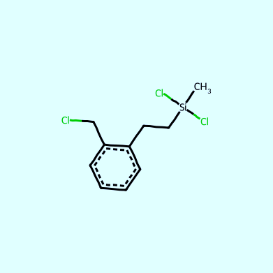 C[Si](Cl)(Cl)CCc1ccccc1CCl